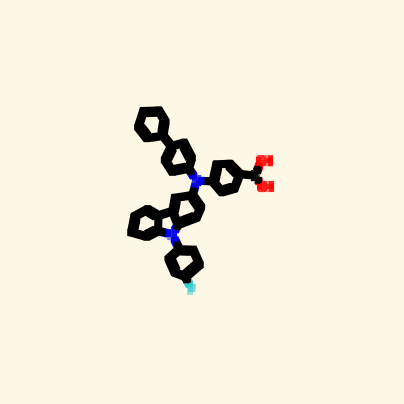 OB(O)c1ccc(N(c2ccc(-c3ccccc3)cc2)c2ccc3c(c2)c2ccccc2n3-c2ccc(F)cc2)cc1